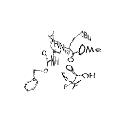 COC(=O)[C@H](CC(C)(C)C)NC[C@H](C[Si](C)(C)C)NC(=O)OCc1ccccc1.O=C(O)C(F)(F)F